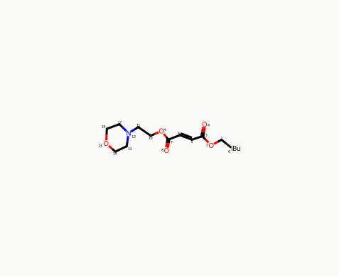 CCC(C)COC(=O)/C=C/C(=O)OCCN1CCOCC1